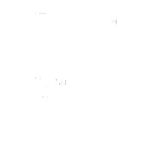 O=C(NC(CCCCCO)CCCCCCO)OCc1ccccc1